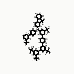 CC(C)(C)c1cccc(-c2ccc(N(c3cc(-c4ccc(-c5cc(-c6cc(C(C)(C)C)cc(C(C)(C)C)c6)cc(C(C)(C)C)c5)cc4)cc(C(C)(C)C)c3)c3ccc4c(c3)C(C)(C)c3ccccc3-4)cc2)c1